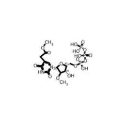 COC(=O)Cc1cn([C@@H]2O[C@H](COP(=O)(O)OP(=O)(O)OP(=O)(O)O)[C@H](O)C2OC)c(=O)[nH]c1=O